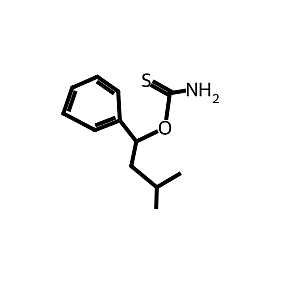 CC(C)CC(OC(N)=S)c1ccccc1